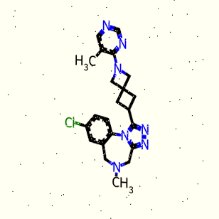 Cc1cncnc1N1CC2(CC(c3nnc4n3-c3ccc(Cl)cc3CN(C)C4)C2)C1